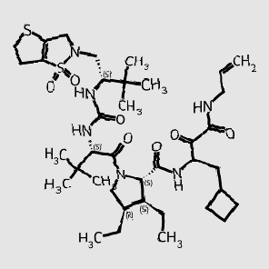 C=CCNC(=O)C(=O)C(CC1CCC1)NC(=O)[C@@H]1[C@@H](CC)[C@@H](CC)CN1C(=O)[C@@H](NC(=O)N[C@H](CN1CC2=C(CCS2)S1(=O)=O)C(C)(C)C)C(C)(C)C